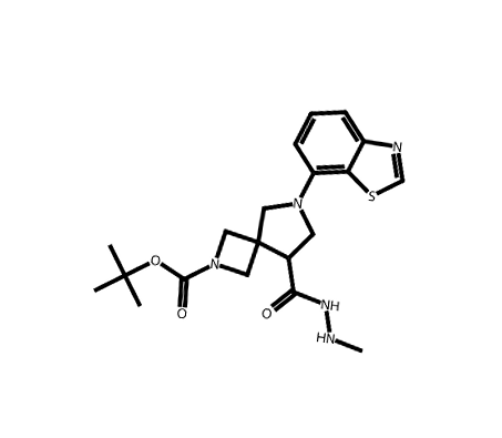 CNNC(=O)C1CN(c2cccc3ncsc23)CC12CN(C(=O)OC(C)(C)C)C2